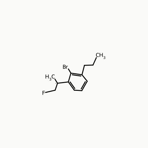 CCCc1cccc([C](C)CF)c1Br